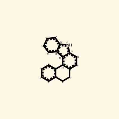 c1ccc2c(c1)CCc1ccc3[nH]c4ccccc4c3c1-2